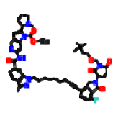 Cc1nn(CCCCCCCC#Cc2ccc(F)c3c2CN(C2CCC(=O)N(COCC[Si](C)(C)C)C2=O)C3=O)c2cc(C(=O)Nc3cc4c(cn3)cc([C@H]3CCCN3C)n4C(=O)OC(C)(C)C)ccc12